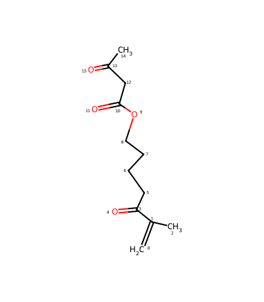 C=C(C)C(=O)CCCCOC(=O)CC(C)=O